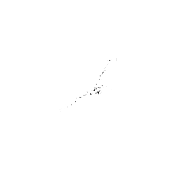 CCCCCCCCCCCCCCCCCCC(C)(CCCCCCCCCCCCCCCC)C(CCCC)C(=O)O